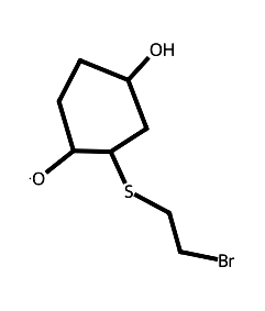 [O]C1CCC(O)CC1SCCBr